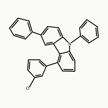 Clc1cccc(-c2cccc3c2c2cc(-c4ccccc4)ccc2n3-c2ccccc2)c1